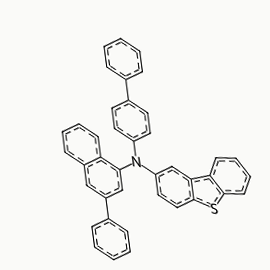 c1ccc(-c2ccc(N(c3ccc4sc5ccccc5c4c3)c3cc(-c4ccccc4)cc4ccccc34)cc2)cc1